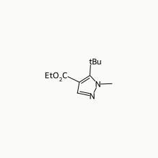 CCOC(=O)c1cnn(C)c1C(C)(C)C